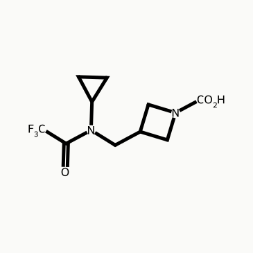 O=C(O)N1CC(CN(C(=O)C(F)(F)F)C2CC2)C1